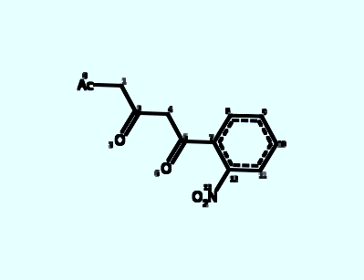 CC(=O)CC(=O)CC(=O)c1ccccc1[N+](=O)[O-]